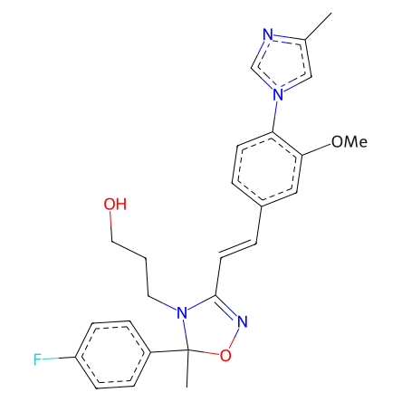 COc1cc(/C=C/C2=NOC(C)(c3ccc(F)cc3)N2CCCO)ccc1-n1cnc(C)c1